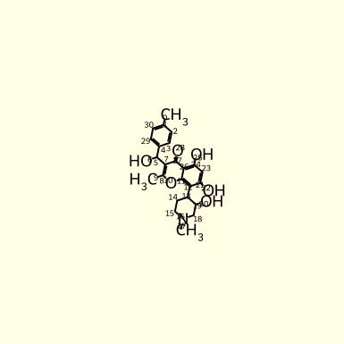 Cc1ccc(C(O)c2c(C)oc3c(C4CCN(C)CC4O)c(O)cc(O)c3c2=O)cc1